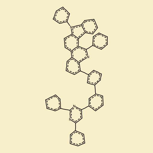 c1ccc(-c2cc(-c3cccc(-c4cccc(-c5cccc6c5nc(-c5ccccc5)c5c6ccc6c5c5ccccc5n6-c5ccccc5)c4)c3)nc(-c3ccccc3)n2)cc1